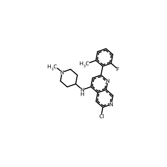 Cc1cccc(F)c1-c1cc(NC2CCN(C)CC2)c2cc(Cl)ncc2n1